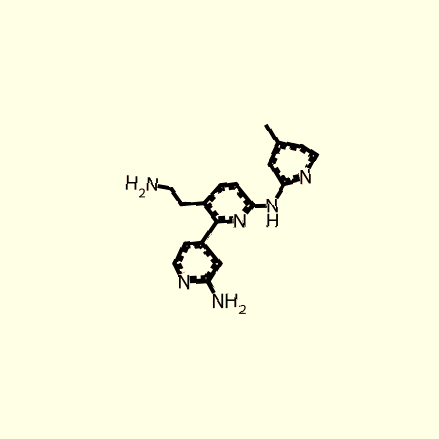 Cc1ccnc(Nc2ccc(CCN)c(-c3ccnc(N)c3)n2)c1